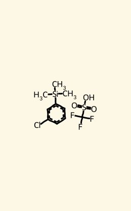 C[Si](C)(C)c1cccc(Cl)c1.O=S(=O)(O)C(F)(F)F